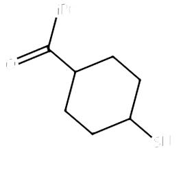 CC(C)C(=O)C1CCC(S)CC1